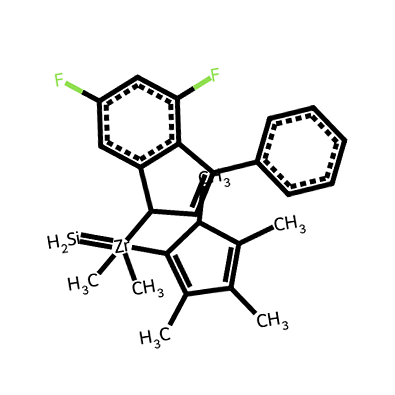 CC1=C(C)C(C)[C]([Zr]([CH3])([CH3])(=[SiH2])[CH]2C=C(c3ccccc3)c3c(F)cc(F)cc32)=C1C